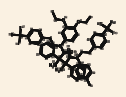 CCOc1ccc(N(CCc2ccc(C(F)(F)F)cc2)C(=O)C(N)(c2ccccc2)C(N)(C(=O)N(CCc2ccc(C(F)(F)F)cc2)c2ccc(C)cc2)c2ccccc2)cc1OCC